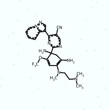 CN(C)CCN(C)C1=C(N)CC(N)(c2ncc(C#N)c(-c3cnn4ccccc34)n2)C(OC(F)(F)F)=C1